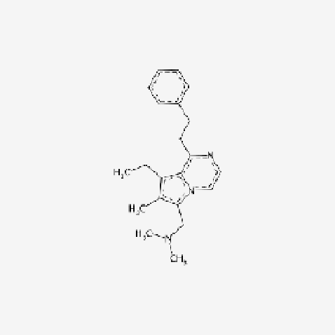 CCc1c(C)c(CN(C)C)n2ccnc(CCc3ccccc3)c12